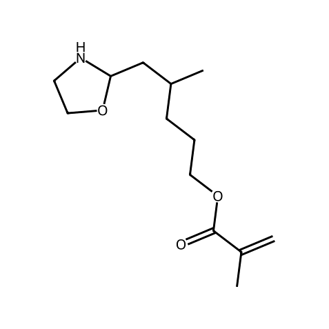 C=C(C)C(=O)OCCCC(C)CC1NCCO1